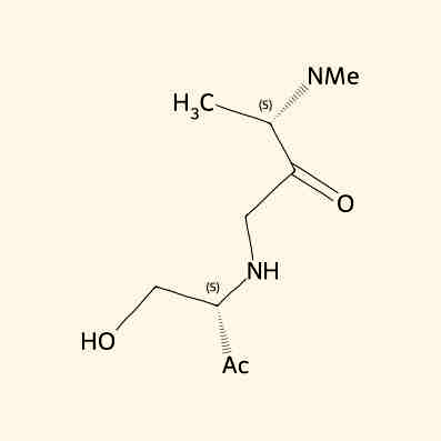 CN[C@@H](C)C(=O)CN[C@@H](CO)C(C)=O